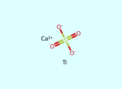 O=S(=O)([O-])[O-].[Ca+2].[Ti]